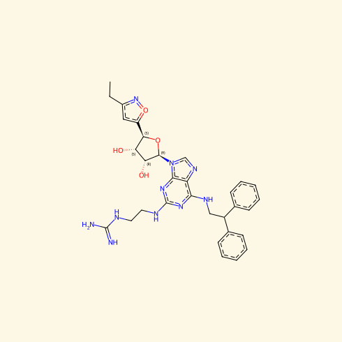 CCc1cc([C@H]2O[C@@H](n3cnc4c(NCC(c5ccccc5)c5ccccc5)nc(NCCNC(=N)N)nc43)[C@H](O)[C@@H]2O)on1